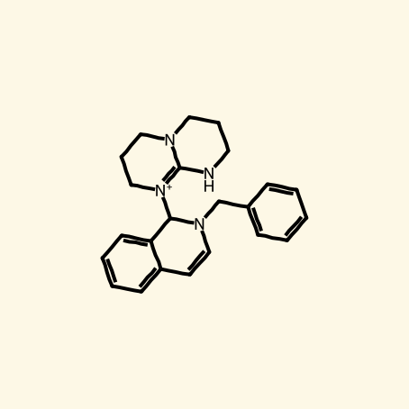 C1=CN(Cc2ccccc2)C([N+]2=C3NCCCN3CCC2)c2ccccc21